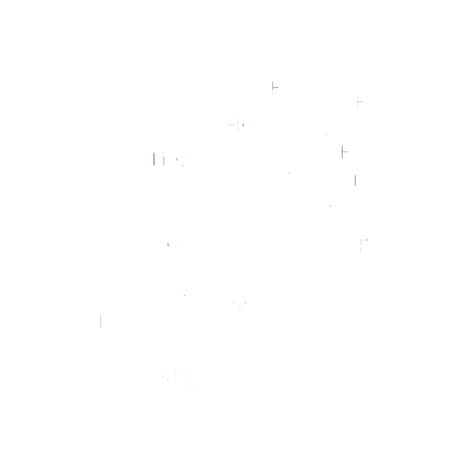 C=C(I)C(=O)OC(C)CC(O)(C(F)(F)F)C(F)(F)F